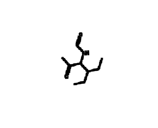 CCC(CC)C(NC=O)C(C)=O